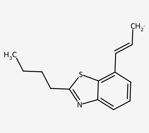 [CH2]C=Cc1cccc2nc(CCCC)sc12